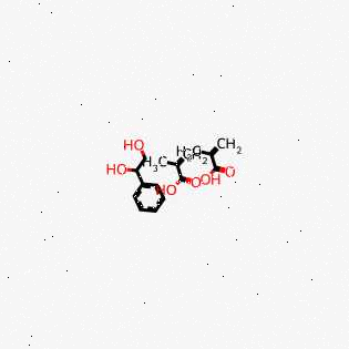 C=C(C)C(=O)O.C=C(C)C(=O)O.OCC(O)c1ccccc1